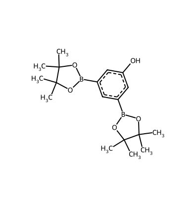 CC1(C)OB(c2cc(O)cc(B3OC(C)(C)C(C)(C)O3)c2)OC1(C)C